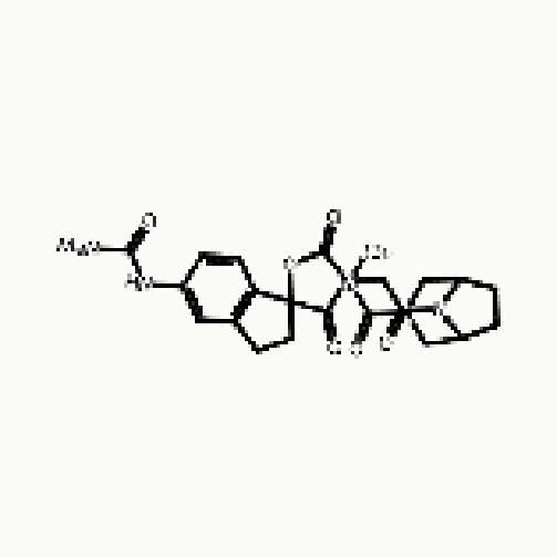 CNC(=O)Nc1ccc2c(c1)CCC21OC(=O)N(CC(=O)N2C3CCC2CN(C(=O)OC(C)(C)C)C3)C1=O